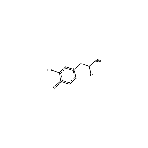 CCCCC(CC)Cn1ccc(=O)c(O)c1